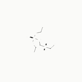 CCOP(=S)(OCC)SCS(=O)(=O)CC